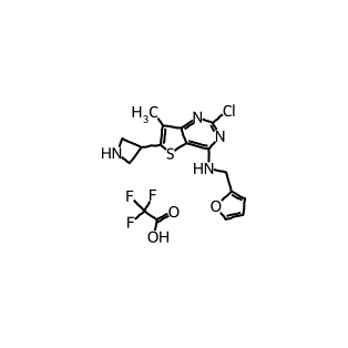 Cc1c(C2CNC2)sc2c(NCc3ccco3)nc(Cl)nc12.O=C(O)C(F)(F)F